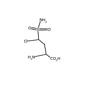 NC(CC(Cl)S(N)(=O)=O)C(=O)O